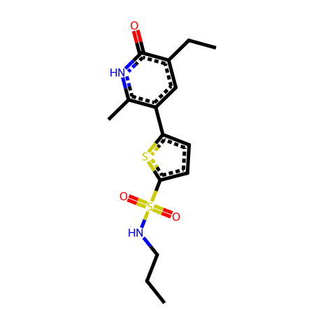 CCCNS(=O)(=O)c1ccc(-c2cc(CC)c(=O)[nH]c2C)s1